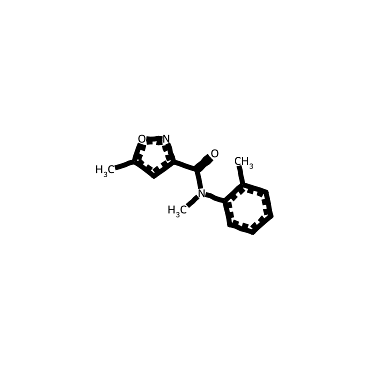 Cc1cc(C(=O)N(C)c2ccccc2C)no1